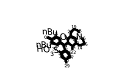 C=c1c(CCCC)cc2c(c1CCCC)OC1C3=C4C(CCCN4CCC3)C(C)C1C=2c1ccc(C)cc1S(=O)(=O)O